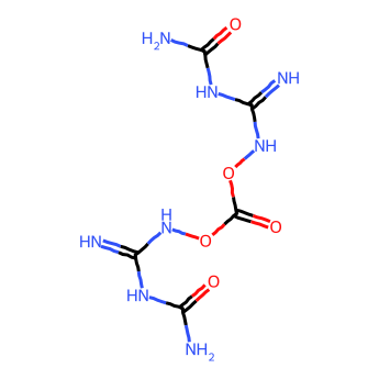 N=C(NOC(=O)ONC(=N)NC(N)=O)NC(N)=O